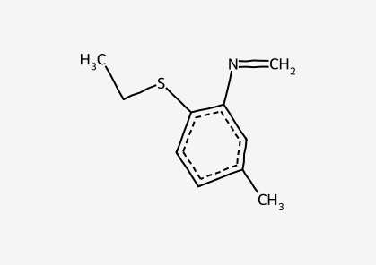 C=Nc1cc(C)ccc1SCC